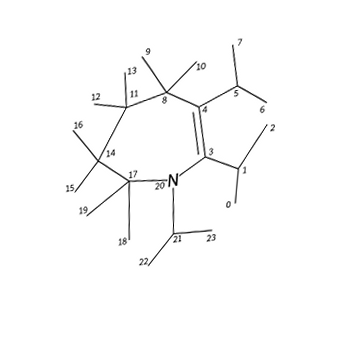 CC(C)C1=C(C(C)C)C(C)(C)C(C)(C)C(C)(C)C(C)(C)N1C(C)C